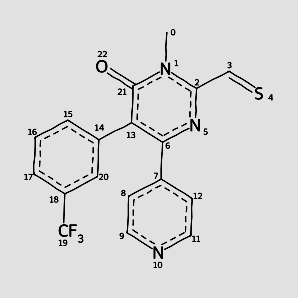 Cn1c(C=S)nc(-c2ccncc2)c(-c2cccc(C(F)(F)F)c2)c1=O